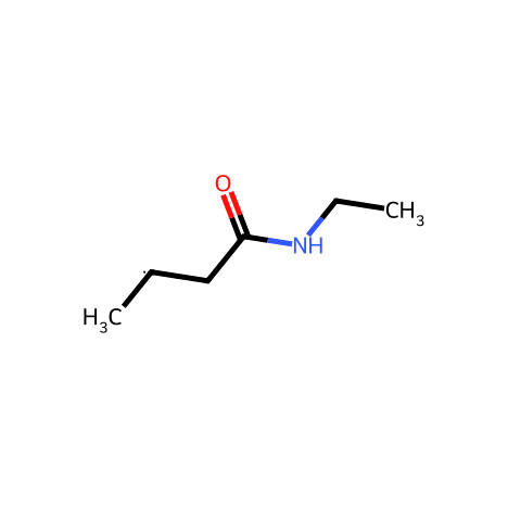 C[CH]CC(=O)NCC